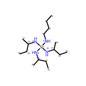 CCCCN[Si](NC(C)CC)(NC(C)CC)NC(C)CC